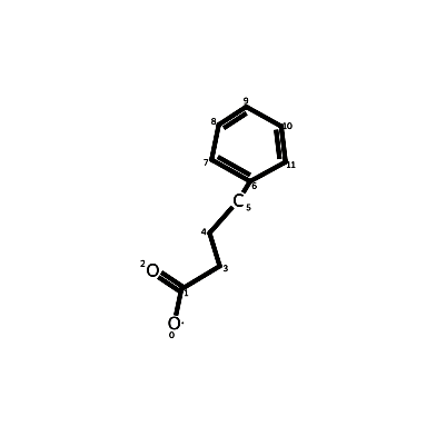 [O]C(=O)CCCc1ccccc1